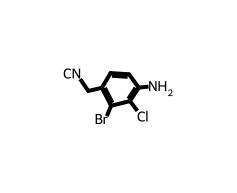 [C-]#[N+]Cc1ccc(N)c(Cl)c1Br